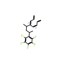 C=C/C=C\C(=C/C=C)C(C)CC(C)c1c(F)c(F)c(F)c(F)c1F